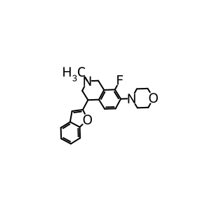 CN1Cc2c(ccc(N3CCOCC3)c2F)C(c2cc3ccccc3o2)C1